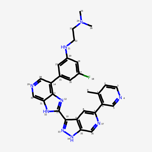 Cc1ccncc1-c1cc2c(-c3nc4c(-c5cc(F)cc(NCCN(C)C)c5)cncc4[nH]3)n[nH]c2cn1